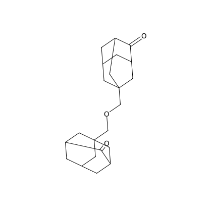 O=C1C2CC3CC1CC(COCC14CC5CC(C1)C(=O)C(C5)C4)(C3)C2